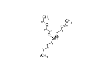 CCCCC[SiH](OCCOCC)OCCOCC